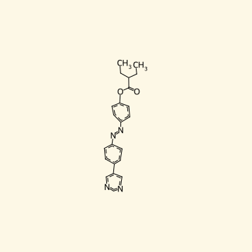 CCC(CC)C(=O)Oc1ccc(N=Nc2ccc(-c3cncnc3)cc2)cc1